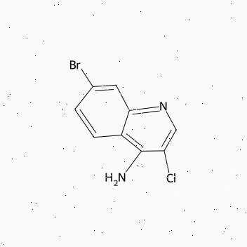 Nc1c(Cl)cnc2cc(Br)ccc12